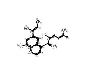 C=C(/C(Cl)=C\C=C(/C)F)c1ccnc2c(C)cc(C(O)=CC)cc12